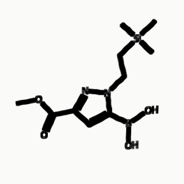 COC(=O)c1cc(B(O)O)n(CC[Si](C)(C)C)n1